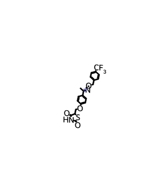 C/C(=N\OCc1ccc(C(F)(F)F)cc1)c1ccc(OCC2SC(=O)NC2=O)cc1